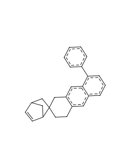 C1=CC2CC1CC21CCc2cc3cccc(-c4ccccc4)c3cc2C1